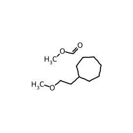 COC=O.COCCC1CCCCCC1